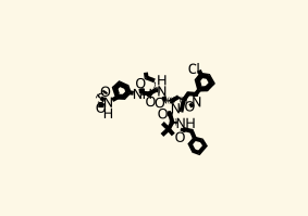 CCC[C@H](NC(=O)[C@@H]1C[C@]2(CC(c3cccc(Cl)c3)=NO2)CN1C(=O)[C@@H](NC(=O)CC1CCCCC1)C(C)(C)C)C(=O)C(=O)Nc1cccc(NS(C)(=O)=O)c1